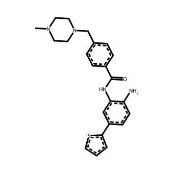 CN1CCN(Cc2ccc(C(=O)Nc3cc(-c4cccs4)ccc3N)cc2)CC1